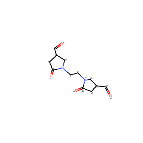 O=[C]C1CC(=O)N(CCN2CC([C]=O)CC2=O)C1